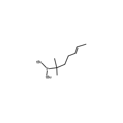 CC=CCCC(C)(C)P(C(C)(C)C)C(C)(C)C